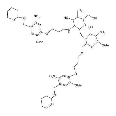 COc1cc(COC2CCCCO2)c([N+](=O)[O-])cc1OCCCNC1C(OC2C(COCCCOc3cc([N+](=O)[O-])c(COC4CCCCO4)cc3OC)OC(OC)C(N)C2O)OC(CO)C(C)C1O